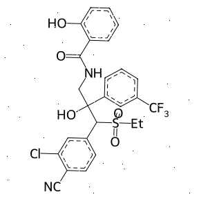 CCS(=O)(=O)C(c1ccc(C#N)c(Cl)c1)C(O)(CNC(=O)c1ccccc1O)c1cccc(C(F)(F)F)c1